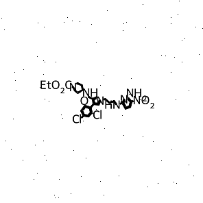 CCOC(=O)N1CCC(NC(=O)c2cn(CCCNc3ccc([N+](=O)[O-])c(N)n3)cc2-c2ccc(Cl)cc2Cl)CC1